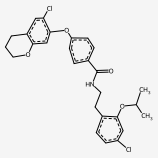 CC(C)Oc1cc(Cl)ccc1CCNC(=O)c1ccc(Oc2cc3c(cc2Cl)CCCO3)cc1